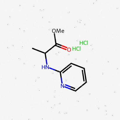 COC(=O)C(C)Nc1ccccn1.Cl.Cl